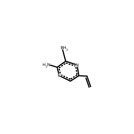 Bc1nc(C=C)cnc1N